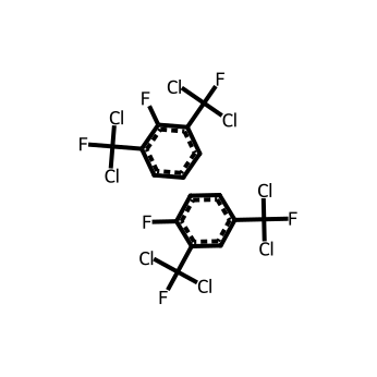 Fc1c(C(F)(Cl)Cl)cccc1C(F)(Cl)Cl.Fc1ccc(C(F)(Cl)Cl)cc1C(F)(Cl)Cl